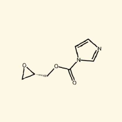 O=C(OC[C@@H]1CO1)n1ccnc1